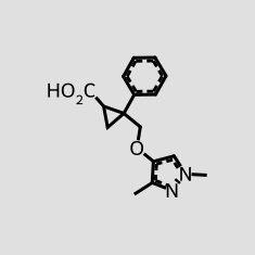 Cc1nn(C)cc1OCC1(c2ccccc2)CC1C(=O)O